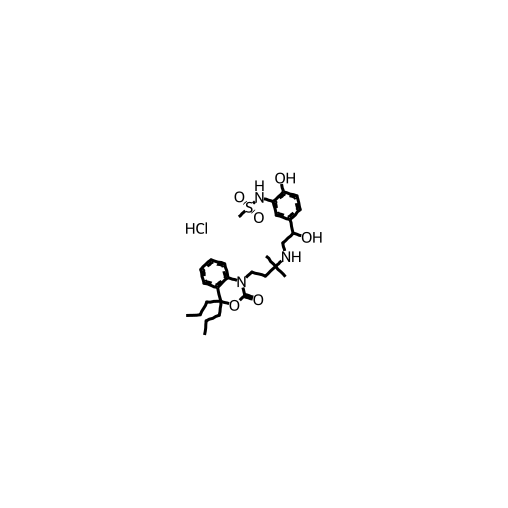 CCCC1(CCC)OC(=O)N(CCC(C)(C)NCC(O)c2ccc(O)c(NS(C)(=O)=O)c2)c2ccccc21.Cl